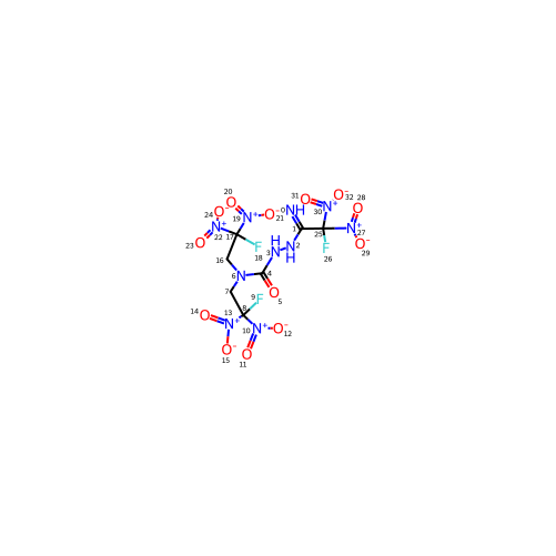 N=C(NNC(=O)N(CC(F)([N+](=O)[O-])[N+](=O)[O-])CC(F)([N+](=O)[O-])[N+](=O)[O-])C(F)([N+](=O)[O-])[N+](=O)[O-]